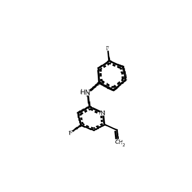 C=Cc1cc(F)cc(Nc2cccc(F)c2)n1